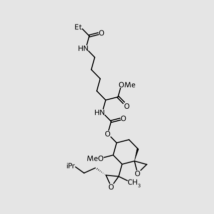 CCC(=O)NCCCCC(NC(=O)OC1CC[C@]2(CO2)C(C2(C)O[C@@H]2CCC(C)C)C1OC)C(=O)OC